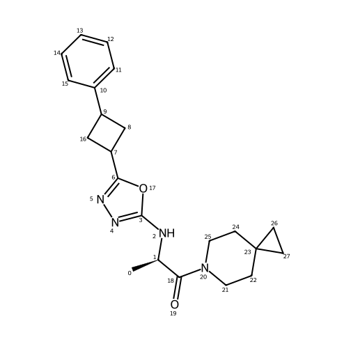 C[C@@H](Nc1nnc(C2CC(c3ccccc3)C2)o1)C(=O)N1CCC2(CC1)CC2